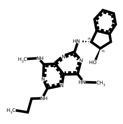 CCCNc1nc(NC)c2nc(N[C@@H]3c4ccccc4C[C@H]3O)nc(NC)c2n1